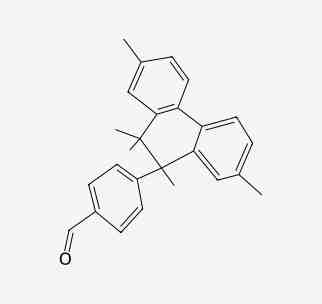 Cc1ccc2c(c1)C(C)(C)C(C)(c1ccc(C=O)cc1)c1cc(C)ccc1-2